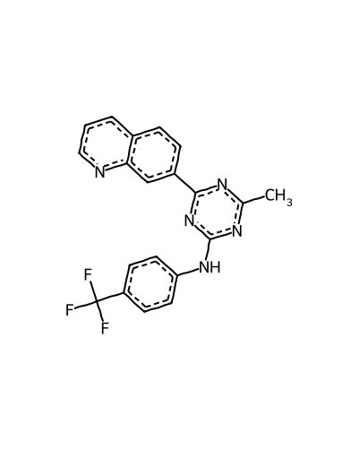 Cc1nc(Nc2ccc(C(F)(F)F)cc2)nc(-c2ccc3cccnc3c2)n1